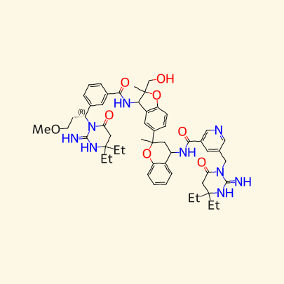 CCC1(CC)CC(=O)N(Cc2cncc(C(=O)NC3CC(C)(c4ccc5c(c4)C(NC(=O)c4cccc([C@@H](CCOC)N6C(=N)NC(CC)(CC)CC6=O)c4)C(C)(CO)O5)Oc4ccccc43)c2)C(=N)N1